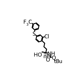 CCC[C@](CO)(CCCc1ccc(Sc2cccc(C(F)(F)F)c2)cc1Cl)NC(=O)OC(C)(C)C